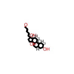 C[C@]12CCC3C(CC[C@@H]4C[C@@H](O)CC[C@]34C)[C@@]1(O)CC[C@]2(O)/C=C/C=C/C=O